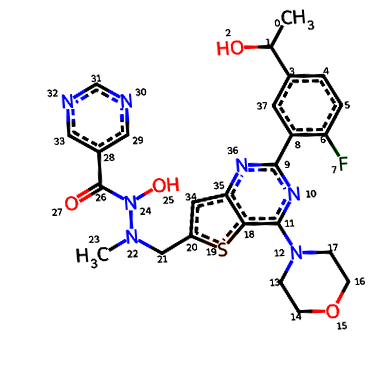 CC(O)c1ccc(F)c(-c2nc(N3CCOCC3)c3sc(CN(C)N(O)C(=O)c4cncnc4)cc3n2)c1